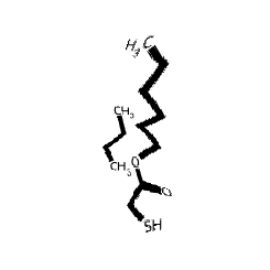 CCCC.CCCCCCOC(=O)CS